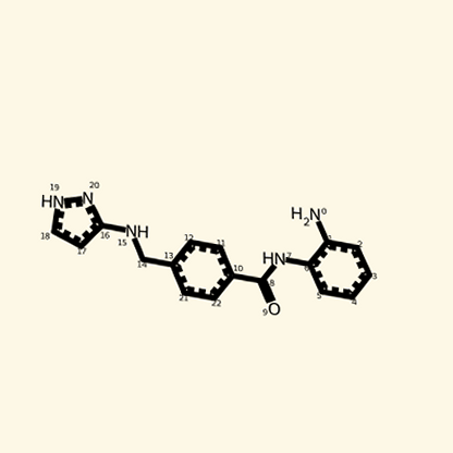 Nc1ccccc1NC(=O)c1ccc(CNc2cc[nH]n2)cc1